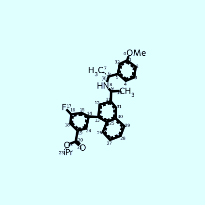 COc1cccc([C@@H](C)NC(C)c2cc(-c3cc(F)cc(C(=O)OC(C)C)c3)c3ccccc3c2)c1